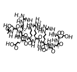 CNC(=O)[C@H](CC(=O)O)NC(=O)[C@H](C)NC(=O)[C@H](CO)NC(=O)[C@H](CCCNC(=N)N)NC(=O)[C@H](CCCNC(=N)N)NC(=O)[C@H](CCCCN)NC(=O)[C@H](CCC(=O)O)NC(=O)[C@H](CCCNC(=N)N)NC(=O)[C@H](CO)NC(C)=O